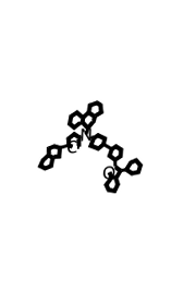 c1ccc(-c2c(-c3cccc(-c4ccc(N(c5ccc(-c6ccc7ccccc7c6)cc5)c5cc6ccccc6c6ccccc56)cc4)c3)oc3ccccc23)cc1